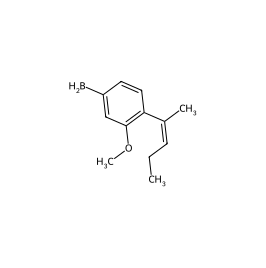 Bc1ccc(/C(C)=C\CC)c(OC)c1